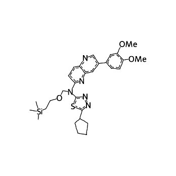 COc1ccc(-c2cnc3ccc(N(COCC[Si](C)(C)C)c4nnc(C5CCCC5)s4)nc3c2)cc1OC